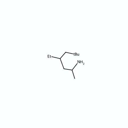 CCC(CC(C)N)CC(C)(C)C